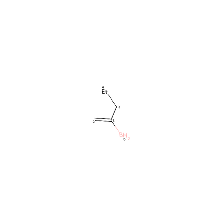 BC(=C)CCC